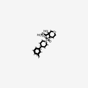 O=C(NO)C1(O)COCCC1S(=O)(=O)N1CCC(c2cccc(F)c2)CC1